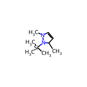 CC1C=CN(C)N1[Si](C)(C)C